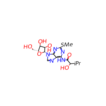 CSc1nc(NC(=O)C(O)C(C)C)c2ncn([C@@H]3O[C@H](CO)[C@@H](O)[C@H]3O)c2n1